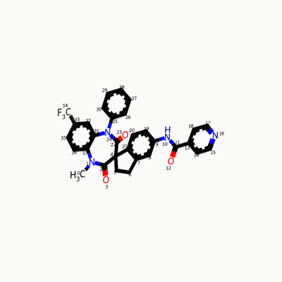 CN1C(=O)C2(CCc3cc(NC(=O)c4ccncc4)ccc32)C(=O)N(c2ccccc2)c2cc(C(F)(F)F)ccc21